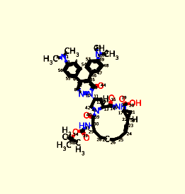 CN(C)c1ccc(-c2cnn([C@@H]3C[C@H]4C(=O)N[C@]5(C(=O)O)C[C@H]5/C=C\CCCCC[C@H](NC(=O)OC(C)(C)C)C(=O)N4C3)c(=O)c2-c2ccc(N(C)C)cc2)cc1